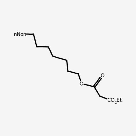 CCCCCCCCCCCCCCCCOC(=O)CC(=O)OCC